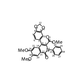 COC(=O)c1c(-c2ccc3c(c2)OCO3)c2cc(OC)c(OC)cc2c(=O)n1-c1ccccc1